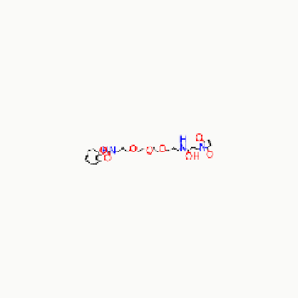 O=C(NCCCOCCOCCOCCCNC(O)CCN1C(=O)C=CC1=O)OC1CC/C=C/CCC1